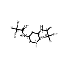 CC(NC1CNCC(NC(=O)C(C)(F)F)C1)C(C)(F)F